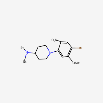 CCN(CC)C1CCN(c2cc(OC)c(Br)cc2[N+](=O)[O-])CC1